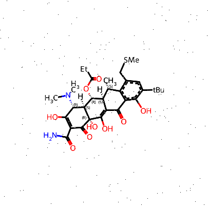 CCC(=O)O[C@@H]1[C@@H]2C(=C(O)[C@@]3(O)C(=O)C(C(N)=O)=C(O)[C@H](N(C)C)[C@@H]13)C(=O)c1c(O)c(C(C)(C)C)cc(CSC)c1[C@H]2C